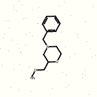 CCCOCC1CN(Cc2ccccc2)CCO1